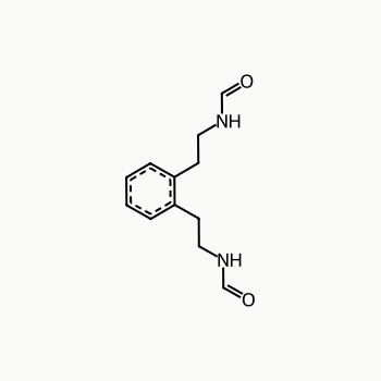 O=CNCCc1ccccc1CCNC=O